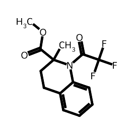 COC(=O)C1(C)CCc2ccccc2N1C(=O)C(F)(F)F